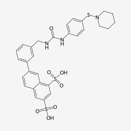 O=C(NCc1cccc(-c2ccc3cc(S(=O)(=O)O)cc(S(=O)(=O)O)c3c2)c1)Nc1ccc(SN2CCCCC2)cc1